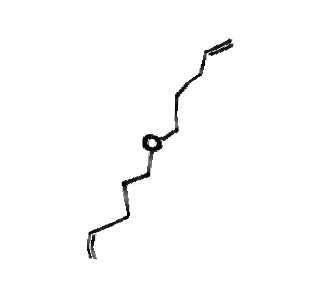 C=CCCCOCCCC=C